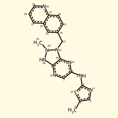 Cc1cnc(Nc2cnc3c(n2)N(Cc2ccc4ncccc4c2)N(C)N3)s1